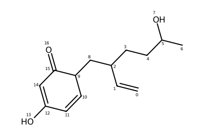 C=CC(CCC(C)O)CC1C=CC(O)=CC1=O